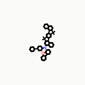 CC1(C)c2cc3c(cc2-c2c1ccc1ccccc21)C(C)(C)c1cc(N(c2ccc(-c4ccccc4)cc2)c2cccc4c2oc2ccccc24)c2ccccc2c1-3